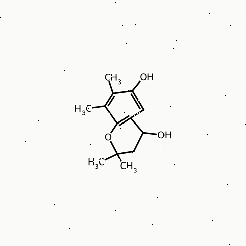 Cc1c(O)cc2c(c1C)OC(C)(C)CC2O